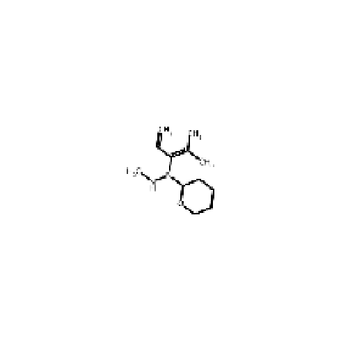 C=CC(=C(C)C)N(NC)C1CCCCO1